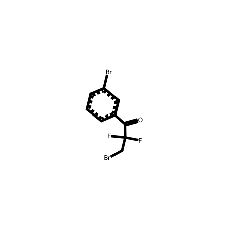 O=C(c1cccc(Br)c1)C(F)(F)CBr